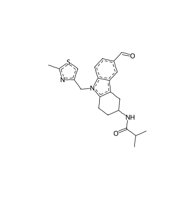 Cc1nc(Cn2c3c(c4cc(C=O)ccc42)CC(NC(=O)C(C)C)CC3)cs1